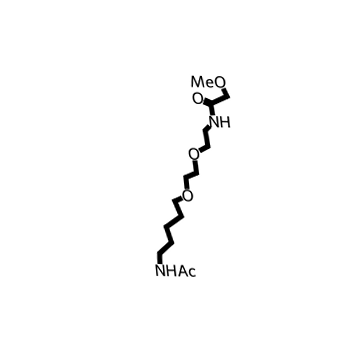 COCC(=O)NCCOCCOCCCCCNC(C)=O